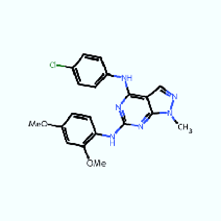 COc1ccc(Nc2nc(Nc3ccc(Cl)cc3)c3cnn(C)c3n2)c(OC)c1